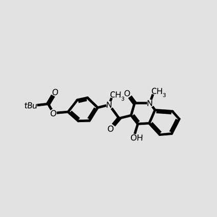 CN(C(=O)c1c(O)c2ccccc2n(C)c1=O)c1ccc(OC(=O)C(C)(C)C)cc1